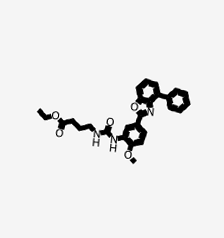 CCOC(=O)CCCNC(=O)Nc1cc(-c2nc3c(-c4ccccc4)cccc3o2)ccc1OC